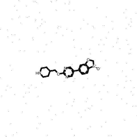 [O-][S@@+]1COc2cc(-c3cnc(OCC4CCNCC4)nc3)ccc21